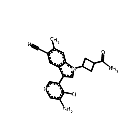 Cc1cc2c(cc1C#N)c(-c1cncc(N)c1Cl)cn2C1CC(C(N)=O)C1